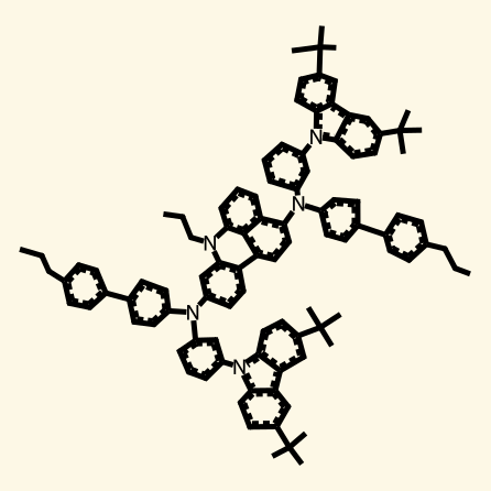 CCCc1ccc(-c2ccc(N(c3cccc(-n4c5ccc(C(C)(C)C)cc5c5cc(C(C)(C)C)ccc54)c3)c3ccc4c(c3)N(CCC)c3cccc5c(N(c6ccc(-c7ccc(CCC)cc7)cc6)c6cccc(-n7c8ccc(C(C)(C)C)cc8c8cc(C(C)(C)C)ccc87)c6)ccc-4c35)cc2)cc1